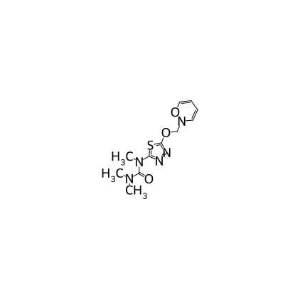 CN(C)C(=O)N(C)c1nnc(OCN2C=CC=CO2)s1